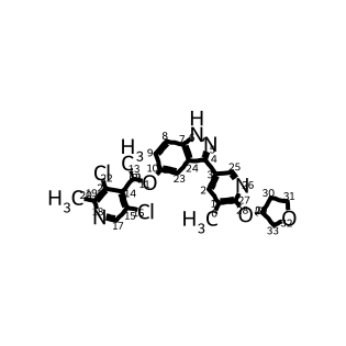 Cc1cc(-c2n[nH]c3ccc(O[C@H](C)c4c(Cl)cnc(C)c4Cl)cc23)cnc1O[C@@H]1CCOC1